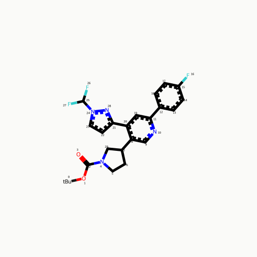 CC(C)(C)OC(=O)N1CCC(c2cnc(-c3ccc(F)cc3)cc2-c2ccn(C(F)F)n2)C1